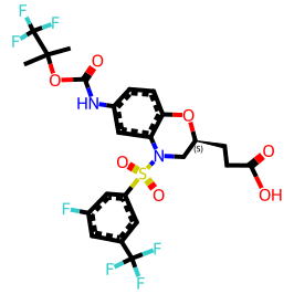 CC(C)(OC(=O)Nc1ccc2c(c1)N(S(=O)(=O)c1cc(F)cc(C(F)(F)F)c1)C[C@H](CCC(=O)O)O2)C(F)(F)F